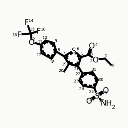 CCOC(=O)c1sc(-c2ccc(OC(F)(F)F)cc2)c(C)c1-c1ccc(S(N)(=O)=O)cc1